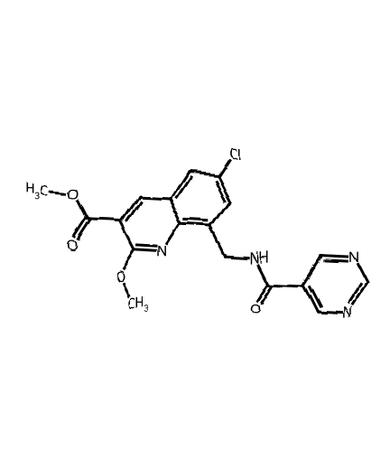 COC(=O)c1cc2cc(Cl)cc(CNC(=O)c3cncnc3)c2nc1OC